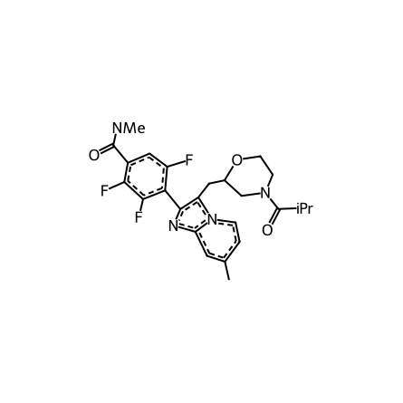 CNC(=O)c1cc(F)c(-c2nc3cc(C)ccn3c2CC2CN(C(=O)C(C)C)CCO2)c(F)c1F